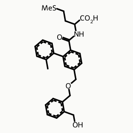 CSCCC(NC(=O)c1ccc(COCc2ccccc2CO)cc1-c1ccccc1C)C(=O)O